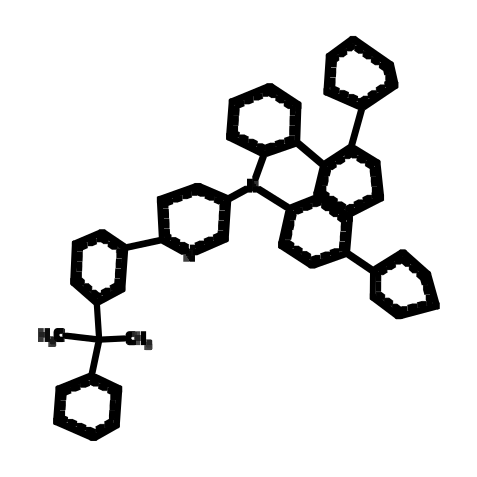 CC(C)(c1ccccc1)c1cccc(-c2ccc(N(c3ccc(-c4ccccc4)cc3)c3ccccc3-c3ccccc3-c3ccccc3)cn2)c1